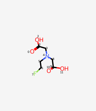 O=C(O)CN(CCF)CC(=O)O